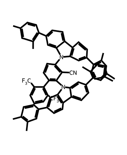 Cc1ccc(-c2ccc3c4ccc(-c5ccc(C)cc5C)cc4n(-c4ccc(-c5c(C(F)(F)F)cccc5C(F)(F)F)c(-n5c6cc(-c7ccc(C)c(C)c7)ccc6c6ccc(-c7cc(C)ccc7C)cc65)c4C#N)c3c2)c(C)c1